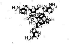 COC1C(CO)OC(n2cnc3c(N)ncnc32)C1OP(=O)(S)OCC1OC(n2cnc3c(N)ncnc32)C(OP(=O)(S)OCC2OC(n3cnc4c(N)ncnc43)C(O)C2O)C1OC